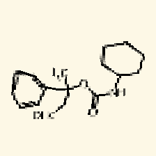 CC(CC=O)(OC(=O)NC1CCCCC1)c1ccccc1